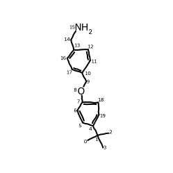 CC(C)(C)c1ccc(OCc2ccc(CN)cc2)cc1